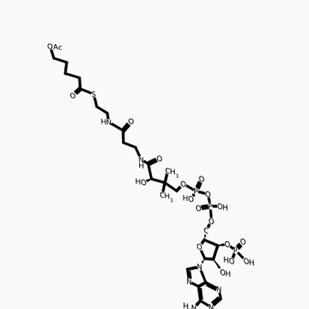 CC(=O)OCCCCC(=O)SCCNC(=O)CCNC(=O)[C@H](O)C(C)(C)COP(=O)(O)OP(=O)(O)OC[C@H]1O[C@@H](n2cnc3c(N)ncnc32)[C@H](O)[C@@H]1OP(=O)(O)O